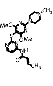 C/C=C/C(=O)Nc1ccnc(Sc2c(OC)nc(N3CCN(C)CC3)nc2OC)n1